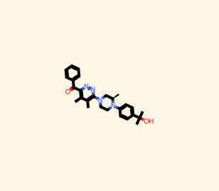 Cc1c(C(=O)c2ccccc2)nnc(N2CCN(c3ccc(C(C)(C)O)cc3)[C@H](C)C2)c1C